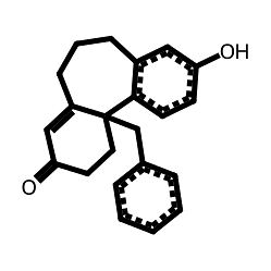 O=C1C=C2CCCc3cc(O)ccc3C2(Cc2ccccc2)CC1